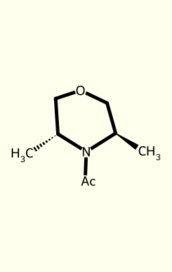 CC(=O)N1[C@H](C)COC[C@H]1C